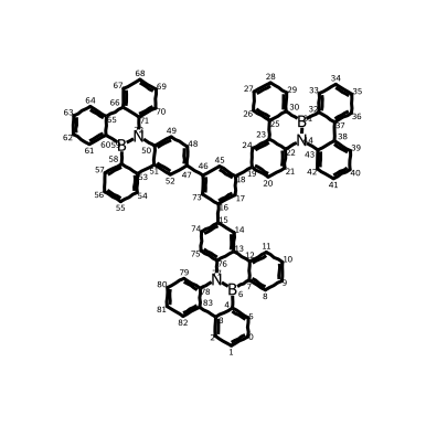 c1ccc2c(c1)B1c3ccccc3-c3cc(-c4cc(-c5ccc6c(c5)-c5ccccc5B5c7ccccc7-c7ccccc7N56)cc(-c5ccc6c(c5)-c5ccccc5B5c7ccccc7-c7ccccc7N56)c4)ccc3N1c1ccccc1-2